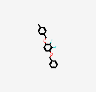 Cc1ccc(COc2ccc(OCc3ccccc3)c(F)c2F)cc1